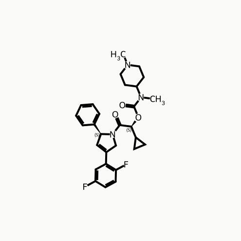 CN1CCC(N(C)C(=O)O[C@H](C(=O)N2CC(c3cc(F)ccc3F)=C[C@H]2c2ccccc2)C2CC2)CC1